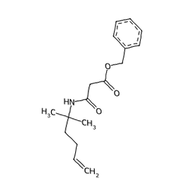 C=CCCC(C)(C)NC(=O)CC(=O)OCc1ccccc1